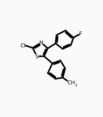 Cc1ccc(-c2sc(Cl)nc2-c2ccc(F)cc2)cc1